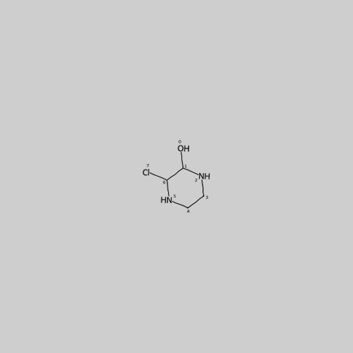 OC1NCCNC1Cl